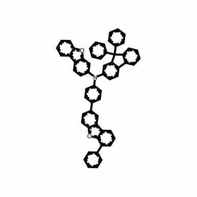 c1ccc(-c2cccc3c2oc2ccc(-c4ccc(N(c5ccc6c(c5)C(c5ccccc5)(c5ccccc5)c5ccccc5-6)c5ccc6c(c5)oc5ccccc56)cc4)cc23)cc1